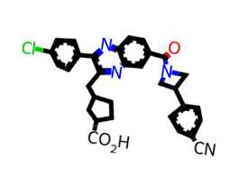 N#Cc1ccc(C2CN(C(=O)c3ccc4nc(-c5ccc(Cl)cc5)c(CC5CCC(C(=O)O)C5)nc4c3)C2)cc1